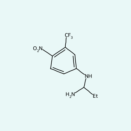 CCC(N)Nc1ccc([N+](=O)[O-])c(C(F)(F)F)c1